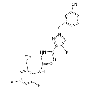 N#Cc1cccc(Cn2cc(F)c(C(=O)NC3C(=O)Nc4c(F)cc(F)cc4C4C=C34)n2)c1